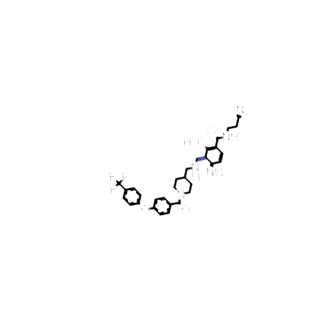 CC1=C(C(=O)NCCC#N)C=CC(=N)/C1=C\NCC1CCN(C(=O)c2ccc(Oc3ccc(C(F)(F)F)cc3)cc2)CC1